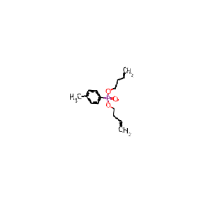 C=CCCOP(=O)(OCCC=C)c1ccc(C)cc1